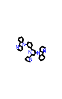 c1ccc(-c2cc(-n3c4ccccc4c4ncccc43)cc(-c3cccc(-n4c5ccccc5c5ncccc54)c3)n2)nc1